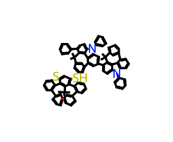 CC(C)(C)c1c2c(cc3sc4cccc(-c5ccccc5)c4c13)[SH](c1cc3cc(c1)C(C)(C)c1c(-c4ccccc4)ccc4c1c1c-3cc(-c3ccc5c6c3C(C)(C)c3cccc(c3)-c3cccc(c36)n5-c3ccccc3)cc1n4-c1ccccc1)c1cccc(-c3ccccc3)c1-2